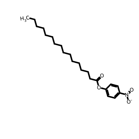 CCCCCCCCCCCCCCCC(=O)Oc1ccc([N+](=O)[O-])cc1